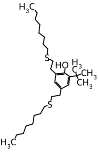 CCCCCCCCSCCc1cc(CCSCCCCCCCC)c(O)c(C(C)(C)C)c1